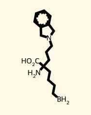 BCCCCC(N)(CCCN1Cc2ccccc2C1)C(=O)O